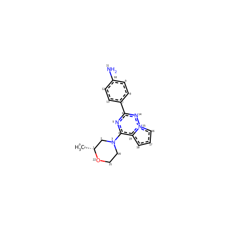 C[C@@H]1CN(c2nc(-c3ccc(N)cc3)nn3cccc23)CCO1